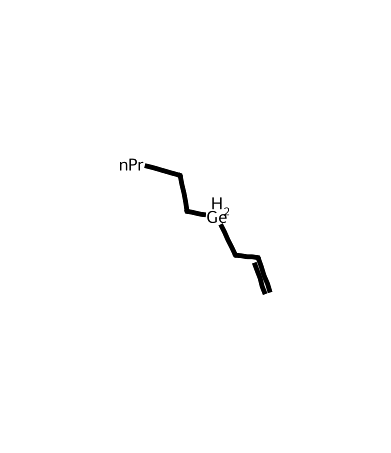 C=C[CH2][GeH2][CH2]CCCC